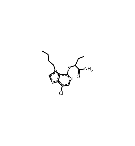 CCCCn1cnc2c(Cl)cnc(SC(CC)C(N)=O)c21